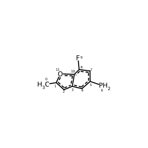 Cc1cc2cc(P)cc(F)c2o1